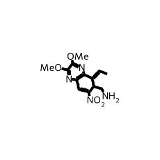 CC=C1c2nc(OC)c(OC)nc2C=C([N+](=O)[O-])C1CN